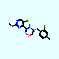 CSc1ncc(Br)c(C2=NOC[C@@H](Cc3ccc(C)cc3Cl)N2)n1